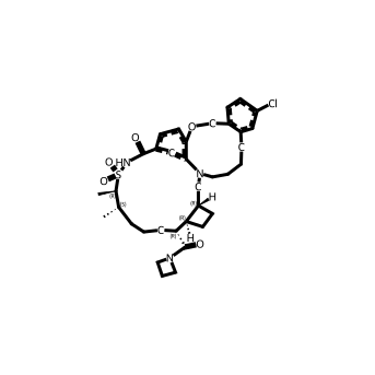 C[C@@H]1[C@@H](C)CCC[C@@H](C(=O)N2CCC2)[C@@H]2CC[C@H]2CN2CCCCc3cc(Cl)ccc3COc3ccc(cc32)C(=O)NS1(=O)=O